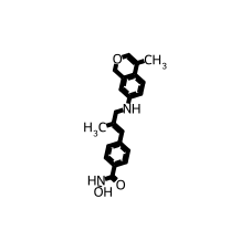 CC(=Cc1ccc(C(=O)NO)cc1)CNc1ccc2c(c1)COC=C2C